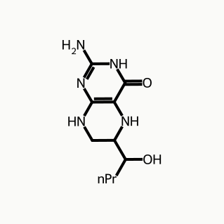 CCCC(O)C1CNc2nc(N)[nH]c(=O)c2N1